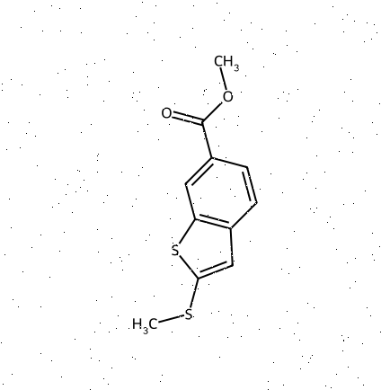 COC(=O)c1ccc2cc(SC)sc2c1